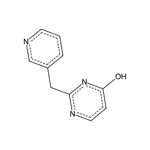 Oc1ccnc(Cc2cccnc2)n1